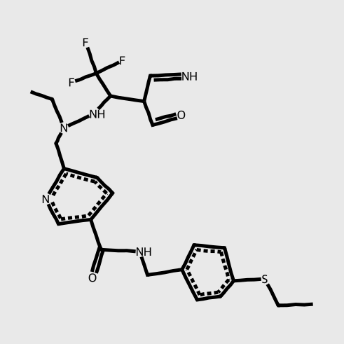 CCSc1ccc(CNC(=O)c2ccc(CN(CC)NC(C(C=N)C=O)C(F)(F)F)nc2)cc1